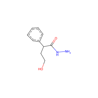 NNC(=O)C(CCO)c1ccccc1